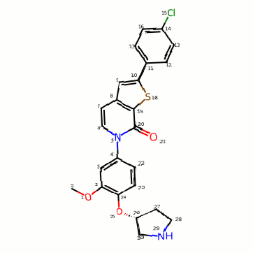 COc1cc(-n2ccc3cc(-c4ccc(Cl)cc4)sc3c2=O)ccc1O[C@@H]1CCNC1